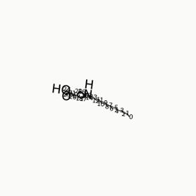 CCCCCCCCCCCCCCCNc1ccc(C=CC(=O)O)cc1